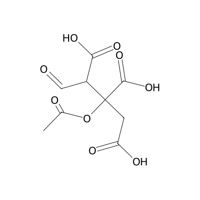 CC(=O)OC(CC(=O)O)(C(=O)O)C(C=O)C(=O)O